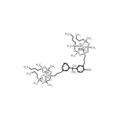 CCCC[Si](C)(C)O[Si](C)(C)O[Si](C)(CCCc1cccc(C(C)(C)c2ccc(O)c(CCC[Si](C)(O[Si](C)(C)O[Si](C)(C)CCCC)O[Si](C)(C)O[Si](C)(C)CCCC)c2)c1)O[Si](C)(C)O[Si](C)(C)CCCC